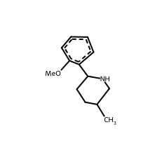 COc1ccccc1C1CCC(C)CN1